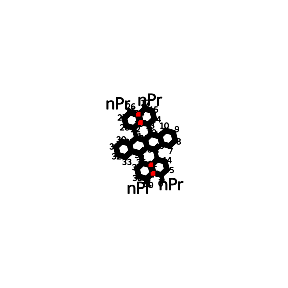 CCCc1ccc(-c2c3ccccc3c(-c3ccc(CCC)cc3)c3c(-c4ccc(CCC)cc4)c4ccccc4c(-c4ccc(CCC)cc4)c23)cc1